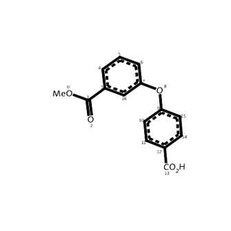 COC(=O)c1cccc(Oc2ccc(C(=O)O)cc2)c1